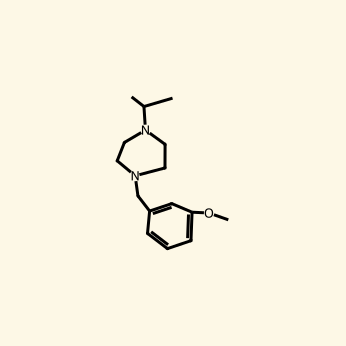 COc1cccc(CN2CCN(C(C)C)CC2)c1